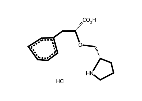 Cl.O=C(O)[C@@H](Cc1ccccc1)OC[C@@H]1CCCN1